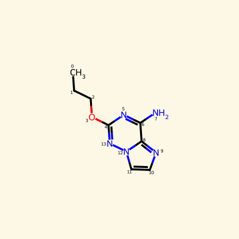 CCCOc1nc(N)c2nccn2n1